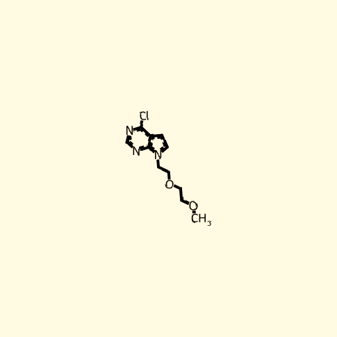 COCCOCCn1ccc2c(Cl)ncnc21